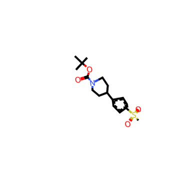 CC(C)(C)OC(=O)N1CCC(c2ccc(S(C)(=O)=O)cc2)CC1